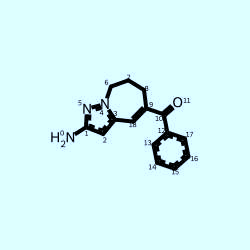 Nc1cc2n(n1)CCCC(C(=O)c1ccccc1)=C2